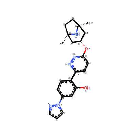 Oc1cc(-n2cccn2)ccc1-c1ccc(O[C@@H]2C[C@H]3CC[C@@H](C2)N3)nn1